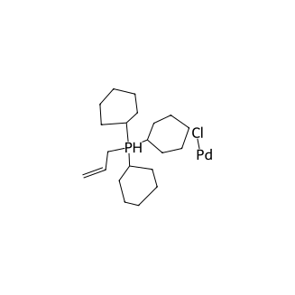 C=CC[PH](C1CCCCC1)(C1CCCCC1)C1CCCCC1.[Cl][Pd]